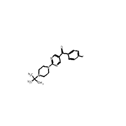 CC(C)(C)N1CCN(c2ncc(C(=O)c3ccc(F)cc3)cn2)CC1